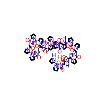 O=C(O)CNC(=O)[C@@H]1CCCN1C(=O)[C@@H]1CCCN1C(=O)CNC(=O)[C@@H]1CCCN1C(=O)[C@@H]1CCCN1C(=O)CNC(=O)[C@@H]1CCCN1C(=O)[C@@H]1CCCN1C(=O)CNC(=O)[C@@H]1CCCN1C(=O)[C@@H]1CCCN1C(=O)CNC(=O)[C@@H]1CCCN1C(=O)[C@@H]1CCCN1C(=O)CNC(=O)[C@@H]1CCCN1C(=O)[C@H](CS)NC(=O)CNC(=O)[C@@H]1CCCN1C(=O)[C@@H]1CCCN1